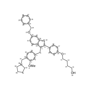 COc1cc(Cc2c(-c3ccc(OCCCCO)cc3)sc3cc(OCc4ccccc4)ccc23)ccc1CN1CCCC1